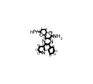 CCCC1CCCC(c2nc(-c3cccnc3)c(-c3ccccc3)nc2C(N)=O)O1